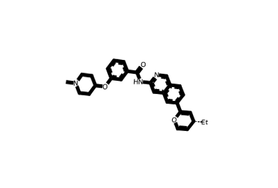 CC[C@@H]1C=COC(c2ccc3cnc(NC(=O)c4cccc(OC5CCN(C)CC5)c4)cc3c2)=C1